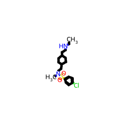 CCNCCC1CCC(CCN(C)S(=O)(=O)c2ccc(Cl)cc2)CC1